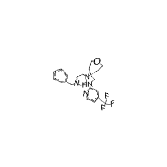 FC(F)(F)c1ccnc(NCC2(N3CCN(Cc4ccccc4)CC3)CCOCC2)c1